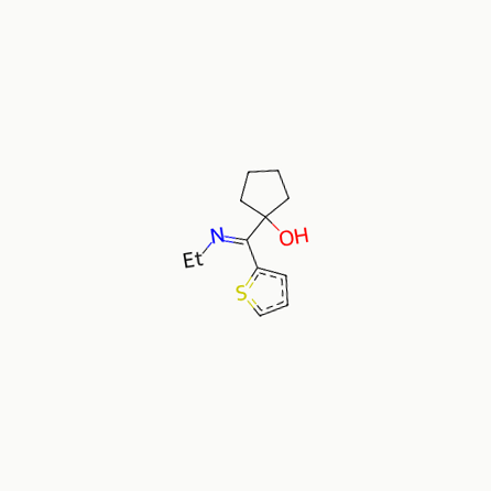 CCN=C(c1cccs1)C1(O)CCCC1